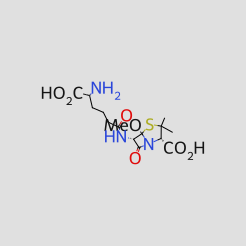 COC12SC(C)(C)[C@H](C(=O)O)N1C(=O)[C@@H]2NC(=O)CCCC(N)C(=O)O